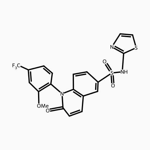 COc1cc(C(F)(F)F)ccc1-n1c(=O)ccc2cc(S(=O)(=O)Nc3nccs3)ccc21